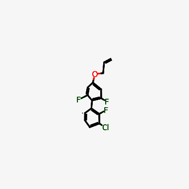 C=CCOc1cc(F)c(-c2[c]ccc(Cl)c2F)c(F)c1